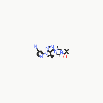 C[C@@H]1CN(c2ncnc3c2C2(CC2)CN3c2cc(C#N)ccn2)[C@@H](C)CN1C(=O)C(C)(C)C